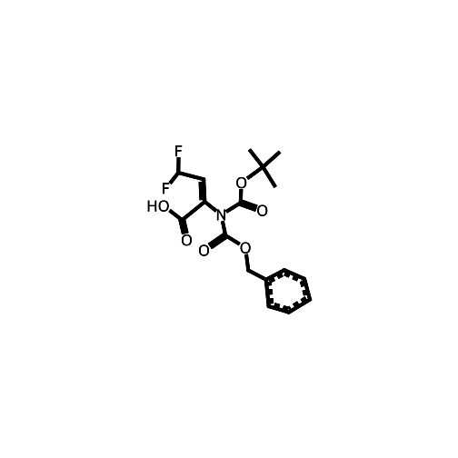 CC(C)(C)OC(=O)N(C(=O)OCc1ccccc1)C(=CC(F)F)C(=O)O